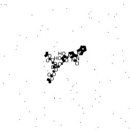 CC(C)OC(=O)OCOP(=O)(COC[C@H]1O[C@@H](n2ccc3c(N4CC5CCCC5C4)nc(Cl)nc32)[C@H](O)[C@@H]1O)OCOC(=O)OC(C)C